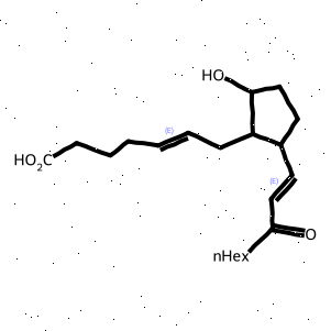 CCCCCCC(=O)/C=C/C1CCC(O)C1C/C=C/CCCC(=O)O